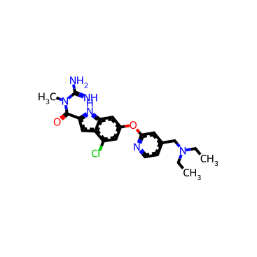 CCN(CC)Cc1ccnc(Oc2cc(Cl)c3cc(C(=O)N(C)C(=N)N)[nH]c3c2)c1